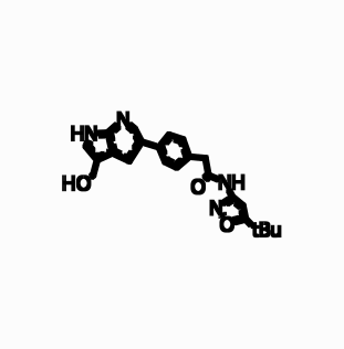 CC(C)(C)c1cc(NC(=O)Cc2ccc(-c3cnc4[nH]cc(CO)c4c3)cc2)no1